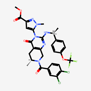 COC(=O)c1cc(-n2c(N[Si@@H](C)c3ccc(OC(F)(F)F)cc3)nc3c(c2=O)C[C@@H](C)N(C(=O)c2ccc(Cl)c(Cl)c2)C3)n(C)n1